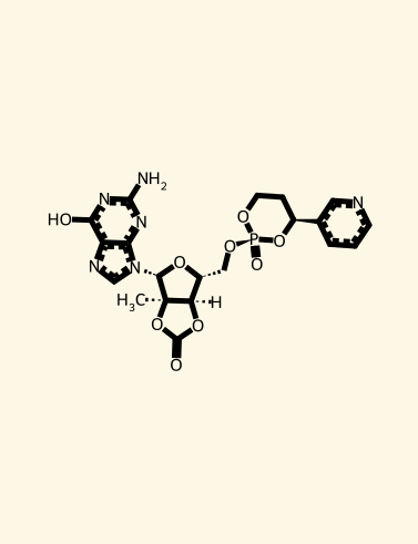 C[C@@]12OC(=O)O[C@@H]1[C@@H](CO[P@@]1(=O)OCC[C@@H](c3cccnc3)O1)O[C@H]2n1cnc2c(O)nc(N)nc21